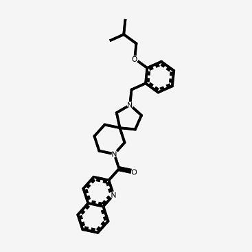 CC(C)COc1ccccc1CN1CCC2(CCCN(C(=O)c3ccc4ccccc4n3)C2)C1